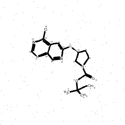 CC(C)(C)OC(=O)N1CC[C@H](Oc2cc3c(Cl)ncnc3cn2)C1